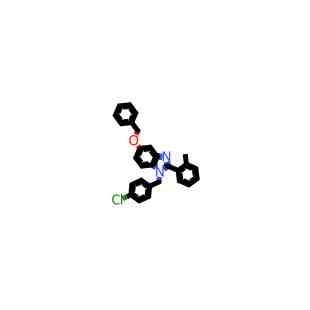 Cc1ccccc1-c1nc2cc(OCc3ccccc3)ccc2n1Cc1ccc(Cl)cc1